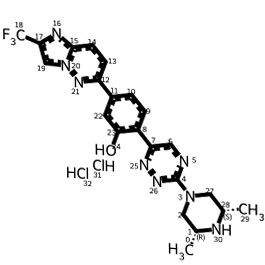 C[C@@H]1CN(c2ncc(-c3ccc(-c4ccc5nc(C(F)(F)F)cn5n4)cc3O)nn2)C[C@H](C)N1.Cl.Cl